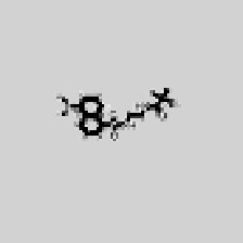 CCC(C)(C)C(=O)NCCNS(=O)(=O)c1cccc2c(N(C)C)cccc12